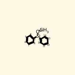 [SiH3]O[Si](c1ccccc1)c1ccccc1